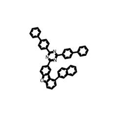 c1ccc(-c2ccc(-c3nc(-c4ccc(-c5ccccc5)cc4)nc(-c4ccc5oc6cccc(-c7ccc8ccccc8c7)c6c5c4)n3)cc2)cc1